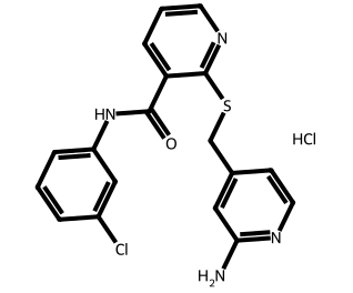 Cl.Nc1cc(CSc2ncccc2C(=O)Nc2cccc(Cl)c2)ccn1